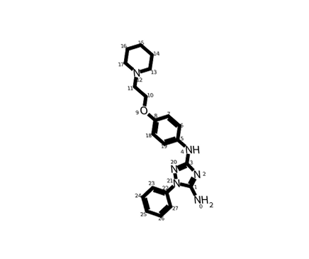 Nc1nc(Nc2ccc(OCCN3CCCCC3)cc2)nn1-c1ccccc1